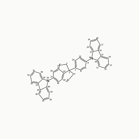 FCC(CF)(c1ccc(-n2c3ccccc3c3ccccc32)cc1)c1ccc(-n2c3ccccc3c3ccccc32)cc1